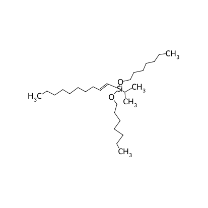 CCCCCCCCC=C[Si](OCCCCCCC)(OCCCCCCC)C(C)C